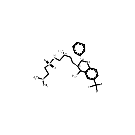 CC1c2cc(C(F)(F)F)ccc2N[C@@H](c2ccccc2)[C@@H]1CC[C@@H](C)CNS(=O)(=O)CCN(C)C